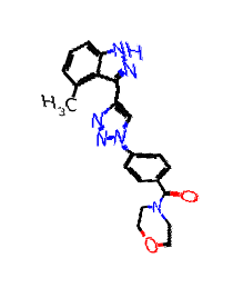 Cc1cccc2[nH]nc(-c3cn(-c4ccc(C(=O)N5CCOCC5)cc4)nn3)c12